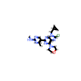 CNc1ncc(-c2nc(N3CCOCC3)c3nc(Cl)n(CC4CC4)c3n2)c(C)n1